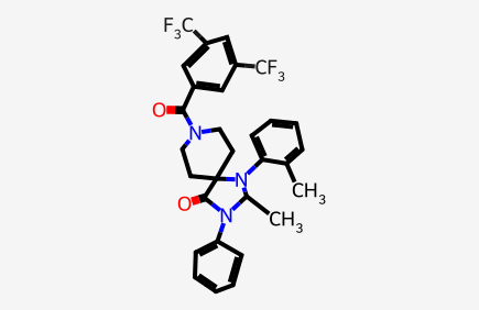 Cc1ccccc1N1C(C)N(c2ccccc2)C(=O)C12CCN(C(=O)c1cc(C(F)(F)F)cc(C(F)(F)F)c1)CC2